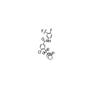 C[C@@]1(O)C2CC[C@@H]1C[C@@H](S(=O)(=O)c1cc(C(=O)Nc3ccc(F)c(C(F)(F)F)c3)ccc1Cl)C2